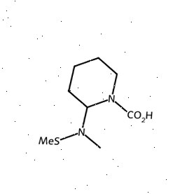 CSN(C)C1CCCCN1C(=O)O